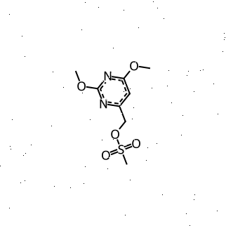 COc1cc(COS(C)(=O)=O)nc(OC)n1